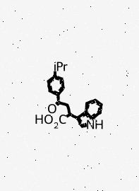 CC(C)c1ccc(C(=O)CC(C(=O)O)c2c[nH]c3ccccc23)cc1